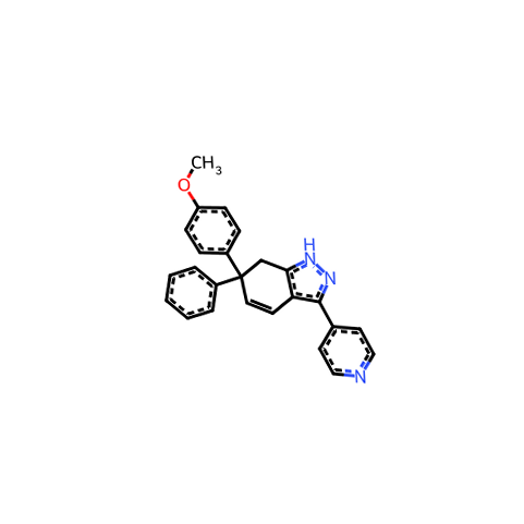 COc1ccc(C2(c3ccccc3)C=Cc3c(-c4ccncc4)n[nH]c3C2)cc1